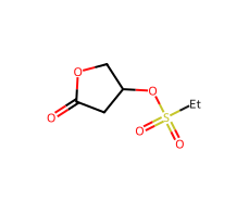 CCS(=O)(=O)OC1COC(=O)C1